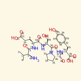 CC(C)[C@H](N)C(=O)N[C@@H](CCC(=O)O)C(=O)N[C@@H](CO)C(=O)N1CCC[C@H]1C(=O)N[C@@H](Cc1ccc(O)cc1)C(=O)O